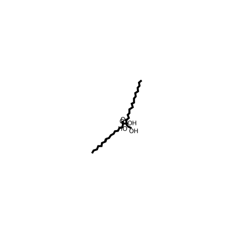 CCCCCCC=CCCCCCCCC(=O)C(O)(C(=O)CCCCCCCCCCCCCCC)C(O)CO